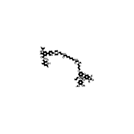 CCCOc1cc(OCCCCN(C)CC(=O)NCCCCCCC(=O)NCCN2CCN(c3ccc(-c4cc(C(=O)NCc5c(C)cc(C)[nH]c5=O)c5cnn(C(C)C)c5c4)cn3)CC2)cc(Oc2cc3c(cc2NS(=O)(=O)c2ccc(OC)c(OC)c2)n(C)c(=O)n3C)c1